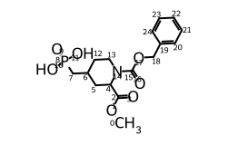 COC(=O)C1CC(CP(=O)(O)O)CCN1C(=O)OCc1ccccc1